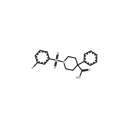 O=C(O)C1(c2ccccc2)CCN(S(=O)(=O)c2cccc(F)c2)CC1